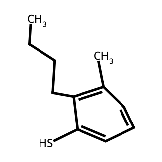 CCCCc1c(C)cccc1S